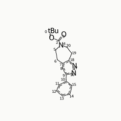 CC(C)(C)OC(=O)N1CCc2cc(-c3ccccc3)nnc2CC1